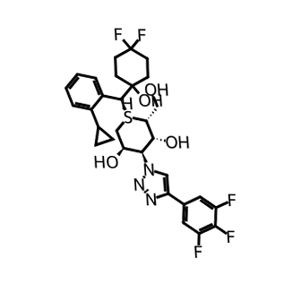 OC[C@@H]1[C@H](O)[C@@H](n2cc(-c3cc(F)c(F)c(F)c3)nn2)[C@@H](O)C[SH]1[C@@H](c1ccccc1C1CC1)C1(O)CCC(F)(F)CC1